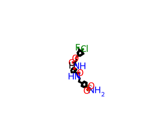 NS(=O)(=O)c1ccc(CCNC(=O)C23CC(C2)[C@@H](NC(=O)COc2ccc(Cl)c(F)c2)C3)cc1